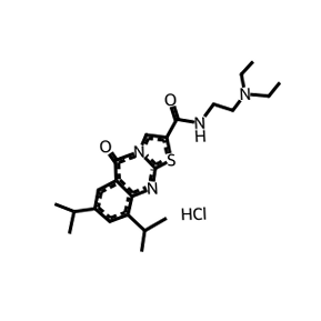 CCN(CC)CCNC(=O)c1cn2c(=O)c3cc(C(C)C)cc(C(C)C)c3nc2s1.Cl